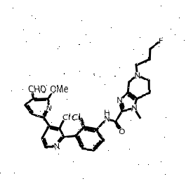 COc1nc(-c2ccnc(-c3cccc(NC(=O)c4nc5c(n4C)CCN(CCCF)C5)c3Cl)c2Cl)ccc1C=O